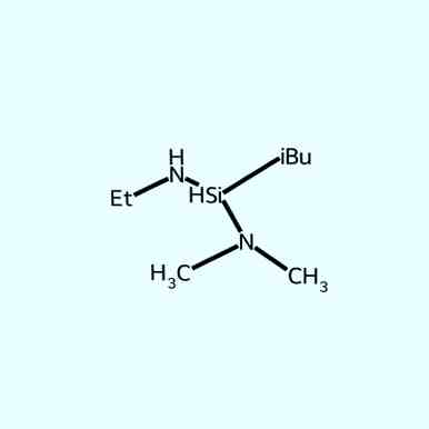 CCN[SiH](C(C)CC)N(C)C